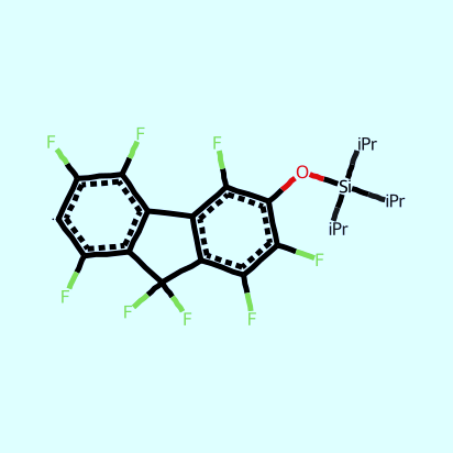 CC(C)[Si](Oc1c(F)c(F)c2c(c1F)-c1c(F)c(F)[c]c(F)c1C2(F)F)(C(C)C)C(C)C